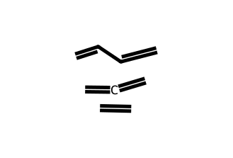 C=C.C=C=C.C=CC=C